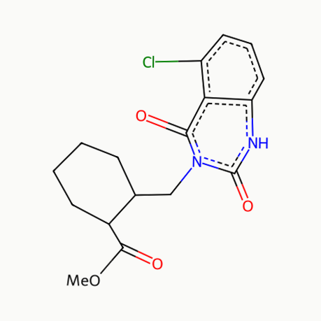 COC(=O)C1CCCCC1Cn1c(=O)[nH]c2cccc(Cl)c2c1=O